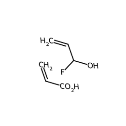 C=CC(=O)O.C=CC(O)F